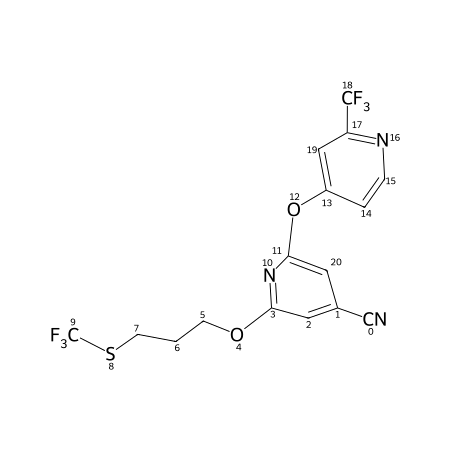 N#Cc1cc(OCCCSC(F)(F)F)nc(Oc2ccnc(C(F)(F)F)c2)c1